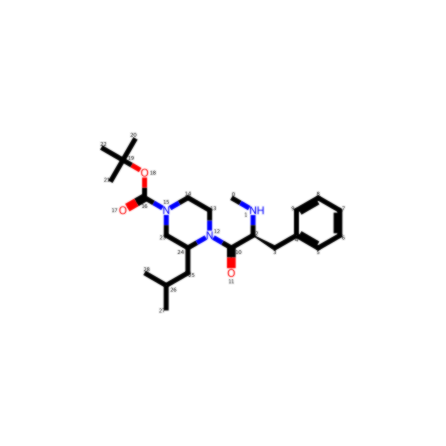 CN[C@@H](Cc1ccccc1)C(=O)N1CCN(C(=O)OC(C)(C)C)CC1CC(C)C